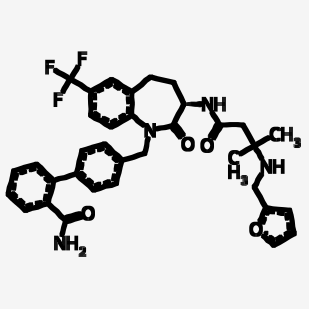 CC(C)(CC(=O)N[C@@H]1CCc2cc(C(F)(F)F)ccc2N(Cc2ccc(-c3ccccc3C(N)=O)cc2)C1=O)NCc1ccco1